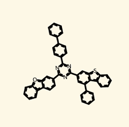 c1ccc(-c2ccc(-c3nc(-c4ccc5c(c4)oc4ccccc45)nc(-c4cc(-c5ccccc5)c5c(c4)sc4ccccc45)n3)cc2)cc1